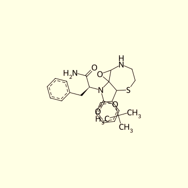 CC(C)(C)OC(=O)N([C@@H](Cc1ccccc1)C(N)=O)C12OC1NCCSC2c1ccccc1